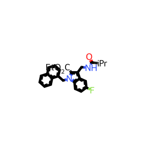 CCOC(=O)c1c(CNC(=O)C(C)C)c2cc(F)ccc2n1Cc1cccc2ccccc12